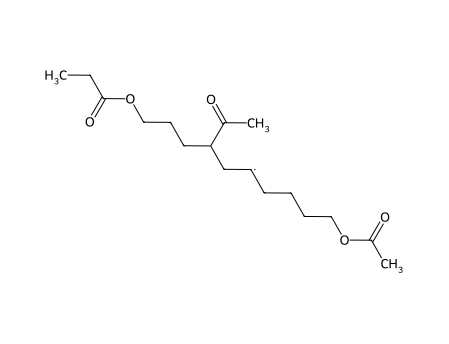 CCC(=O)OCCCC(C[CH]CCCCOC(C)=O)C(C)=O